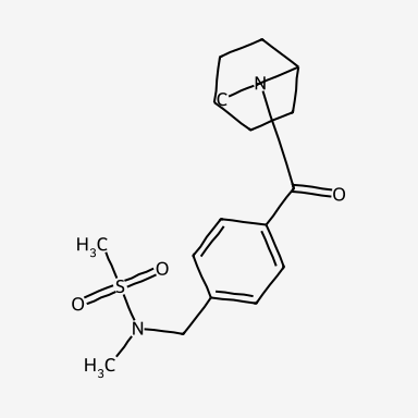 CN(Cc1ccc(C(=O)N2CC3CCC(CC3)C2)cc1)S(C)(=O)=O